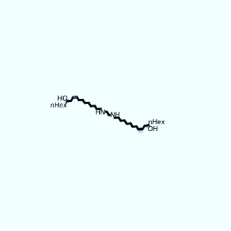 CCCCCC[C@@H](O)C/C=C\CCCCCCCCNCCNCCCCCCCC/C=C\C[C@H](O)CCCCCC